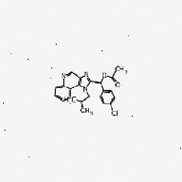 CC(=O)OC(c1ccc(Cl)cc1)c1nc2cnc3ccccc3c2n1CC(C)C